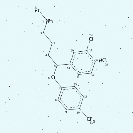 CCNCCCC(Oc1ccc(C(F)(F)F)cc1)c1cccc(Cl)c1.Cl